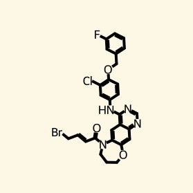 O=C(/C=C/CBr)N1CCCOc2cc3ncnc(Nc4ccc(OCc5cccc(F)c5)c(Cl)c4)c3cc21